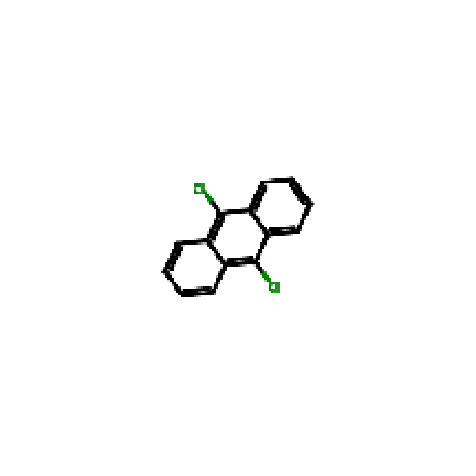 Clc1c2c[c]ccc2c(Cl)c2c[c]ccc12